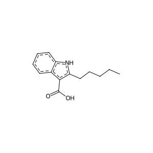 CCCCCc1[nH]c2ccccc2c1C(=O)O